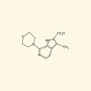 Cc1c(C(=O)O)[nH]c2c(N3CCOCC3)nccc12